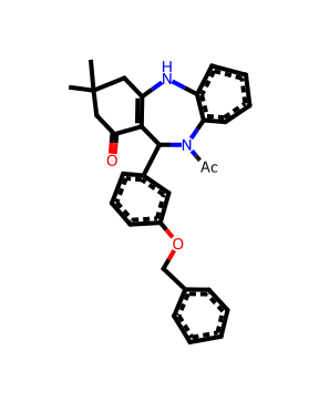 CC(=O)N1c2ccccc2NC2=C(C(=O)CC(C)(C)C2)C1c1cccc(OCc2ccccc2)c1